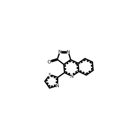 O=C1N=Nc2c1c(-c1nccs1)nc1ccccc21